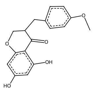 COc1ccc(CC2COc3cc(O)cc(O)c3C2=O)cc1